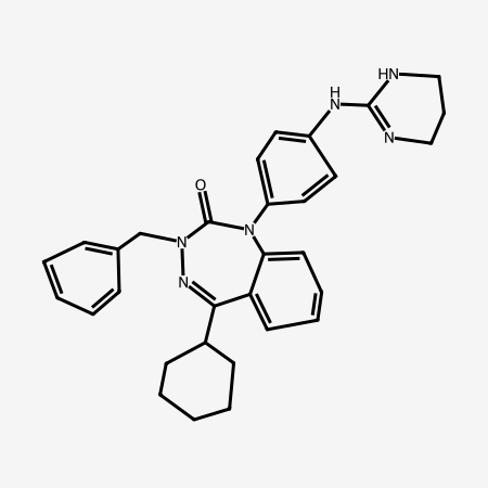 O=C1N(Cc2ccccc2)N=C(C2CCCCC2)c2ccccc2N1c1ccc(NC2=NCCCN2)cc1